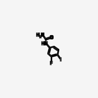 NC(=O)Nc1ccc(I)c(F)c1